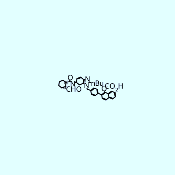 CCCCc1nc2c(n1Cc1ccc(-c3ccc4ccccc4c3OC(=O)O)cc1)CC(=NC(=O)[C@@H]1CCCC[C@@H]1C=O)C=C2